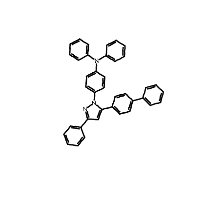 c1ccc(-c2ccc(-c3cc(-c4ccccc4)nn3-c3ccc(N(c4ccccc4)c4ccccc4)cc3)cc2)cc1